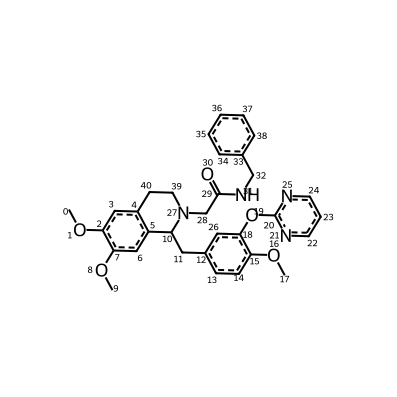 COc1cc2c(cc1OC)C(Cc1ccc(OC)c(Oc3ncccn3)c1)N(CC(=O)NCc1ccccc1)CC2